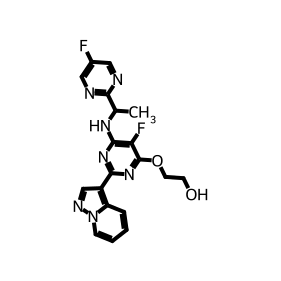 CC(Nc1nc(-c2cnn3ccccc23)nc(OCCO)c1F)c1ncc(F)cn1